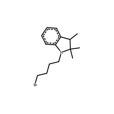 CC1c2ccccc2N(CCCCBr)C1(C)C